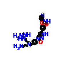 N=C(N)NCCCN(CCCN)Cc1ccc(-n2cc3cc(-c4ccc(S(=O)(=O)NC5CN6CCC5CC6)cc4)[nH]c3nc2=O)cc1